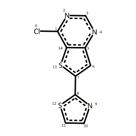 Clc1ncnc2cc(-c3nccs3)sc12